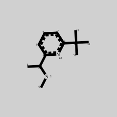 CSC(C)c1cccc(C(C)(C)C)n1